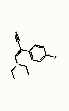 CCN(/C=C(/C#N)c1cc[n+]([O-])cc1)CC